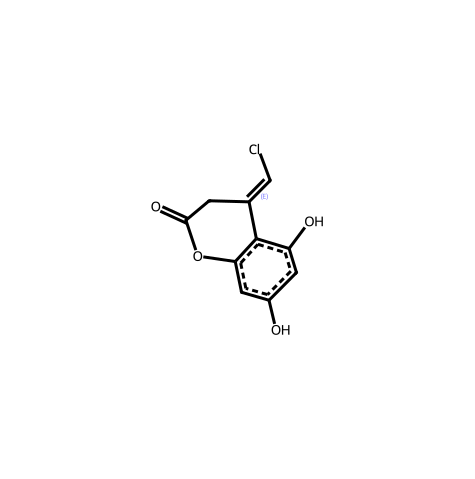 O=C1C/C(=C\Cl)c2c(O)cc(O)cc2O1